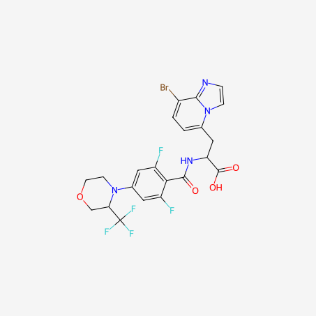 O=C(NC(Cc1ccc(Br)c2nccn12)C(=O)O)c1c(F)cc(N2CCOCC2C(F)(F)F)cc1F